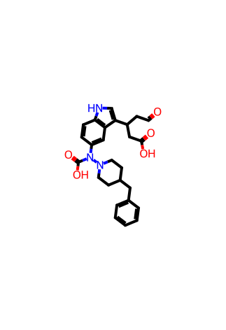 O=CCC(CC(=O)O)c1c[nH]c2ccc(N(C(=O)O)N3CCC(Cc4ccccc4)CC3)cc12